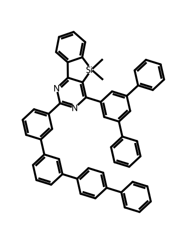 C[Si]1(C)c2ccccc2-c2nc(-c3cccc(-c4cccc(-c5ccc(-c6ccccc6)cc5)c4)c3)nc(-c3cc(-c4ccccc4)cc(-c4ccccc4)c3)c21